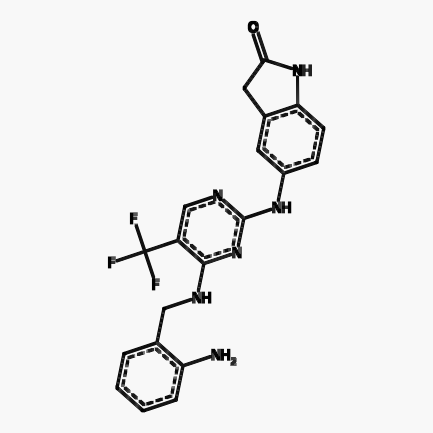 Nc1ccccc1CNc1nc(Nc2ccc3c(c2)CC(=O)N3)ncc1C(F)(F)F